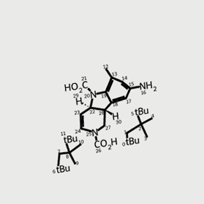 CC(C)(C)CC(C)(C)C(C)(C)C.CC(C)(C)CC(C)(C)C(C)(C)C.Cc1cc(N)cc2c1N(C(=O)O)[C@@H]1C=CN(C(=O)O)C[C@@H]21